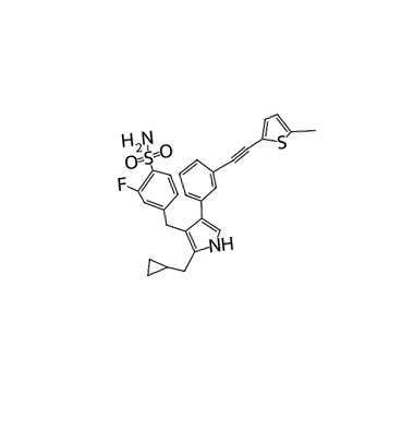 Cc1ccc(C#Cc2cccc(-c3c[nH]c(CC4CC4)c3Cc3ccc(S(N)(=O)=O)c(F)c3)c2)s1